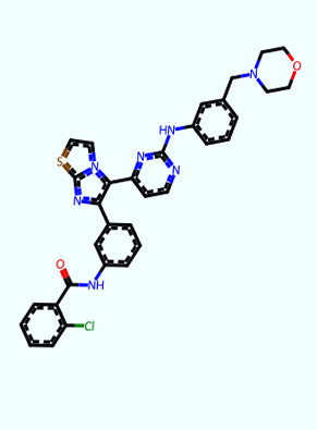 O=C(Nc1cccc(-c2nc3sccn3c2-c2ccnc(Nc3cccc(CN4CCOCC4)c3)n2)c1)c1ccccc1Cl